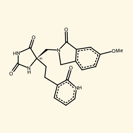 COc1ccc2c(c1)C(=O)N(C[C@@]1(CCc3ccc[nH]c3=O)NC(=O)NC1=O)C2